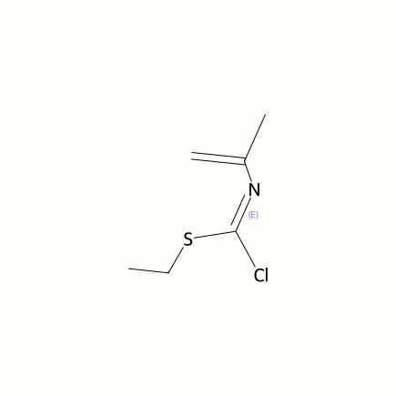 C=C(C)/N=C(/Cl)SCC